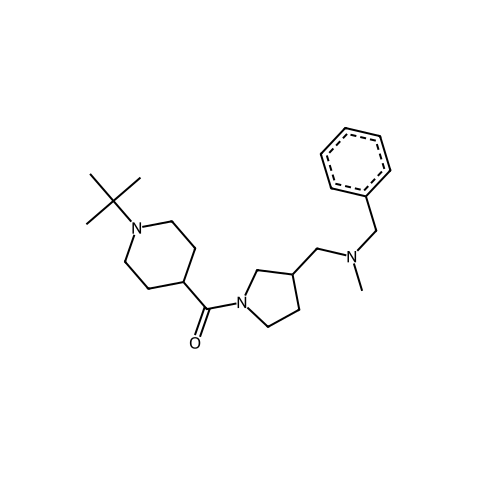 CN(Cc1ccccc1)CC1CCN(C(=O)C2CCN(C(C)(C)C)CC2)C1